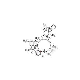 CC[C@H]1OC(=O)[C@H](C)[C@@H](O[C@H]2C[C@@](C)(OC)[C@](O)(CN3CCCC3)[C@H](C)O2)[C@H](C)[C@@H](O[C@@H]2O[C@H](C)C[C@H](N(C)S(=O)(=O)c3ccc(Cl)cc3)[C@H]2O)[C@](C)(O)C[C@@H](C)CN[C@H](C)[C@@H](O)[C@]1(C)O